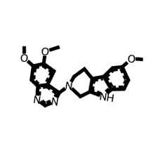 COc1ccc2[nH]c3c(c2c1)CCN(c1ncnc2cc(OC)c(OC)cc12)C3